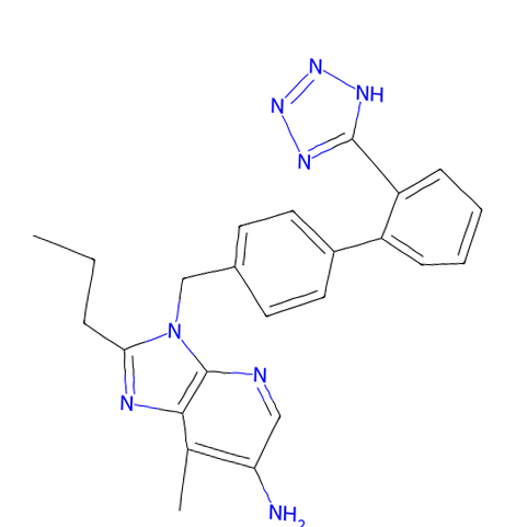 CCCc1nc2c(C)c(N)cnc2n1Cc1ccc(-c2ccccc2-c2nnn[nH]2)cc1